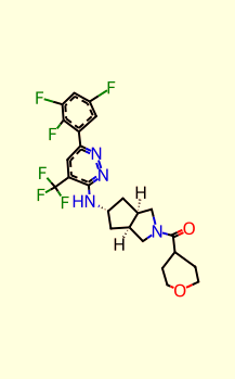 O=C(C1CCOCC1)N1C[C@H]2C[C@H](Nc3nnc(-c4cc(F)cc(F)c4F)cc3C(F)(F)F)C[C@H]2C1